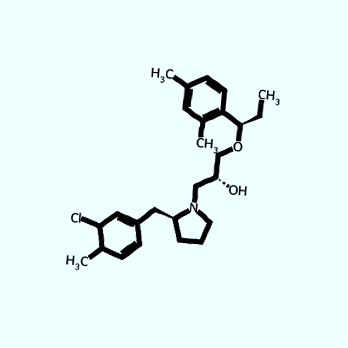 CC[C@@H](OC[C@H](O)CN1CCC[C@H]1CC1=CC(Cl)C(C)C=C1)c1ccc(C)cc1C